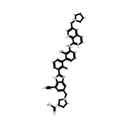 Cc1c(-c2nc3cc(CN4CC[C@H](C(=O)O)C4)cc(C#N)c3o2)cccc1-c1cccc(Nc2nccc3cc(CN4CCCC4)cnc23)c1Cl